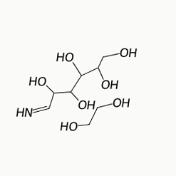 N=CC(O)C(O)C(O)C(O)CO.OCCO